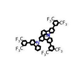 N#Cc1ccc(-n2c3ccccc3c3cc(-c4cc(C(F)(F)F)cc(C(F)(F)F)c4)ccc32)cc1-c1cc(-c2cc(C(F)(F)F)cc(C(F)(F)F)c2)ccc1-n1c2ccccc2c2cc(-c3cc(C(F)(F)F)cc(C(F)(F)F)c3)ccc21